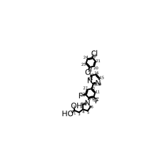 OC(O)CC1CCN(c2c(F)cc(-c3nccc(Oc4ccc(Cl)cc4)n3)cc2F)C1